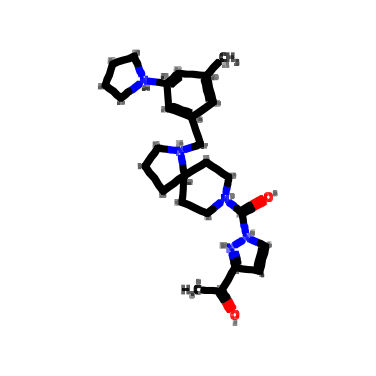 CC(=O)c1ccn(C(=O)N2CCC3(CCCN3Cc3cc(C)cc(N4CCCC4)c3)CC2)n1